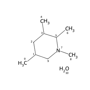 CC1CC(C)C(C)N(C)C1.O